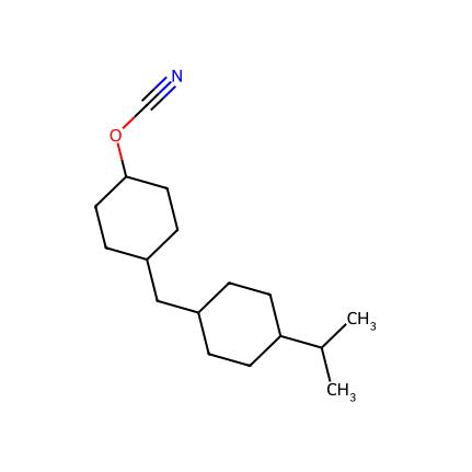 CC(C)C1CCC(CC2CCC(OC#N)CC2)CC1